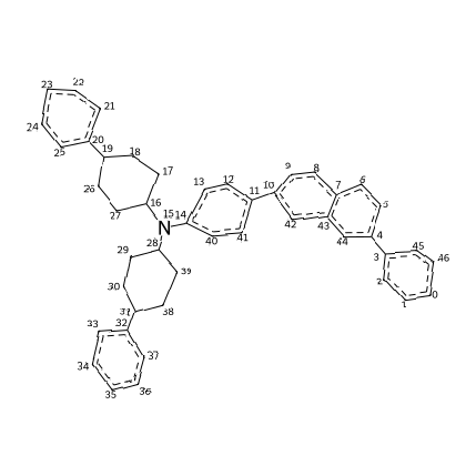 c1ccc(-c2ccc3ccc(-c4ccc(N(C5CCC(c6ccccc6)CC5)C5CCC(c6ccccc6)CC5)cc4)cc3c2)cc1